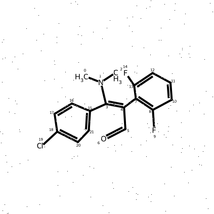 CN(C)C(=C(C=O)c1c(F)cccc1F)c1ccc(Cl)cc1